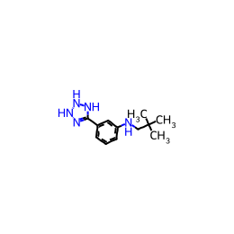 CC(C)(C)CNc1cccc(C2=NNNN2)c1